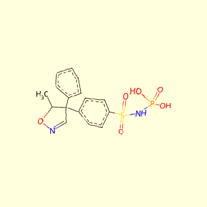 CC1ON=CC1(c1ccccc1)c1ccc(S(=O)(=O)NP(=O)(O)O)cc1